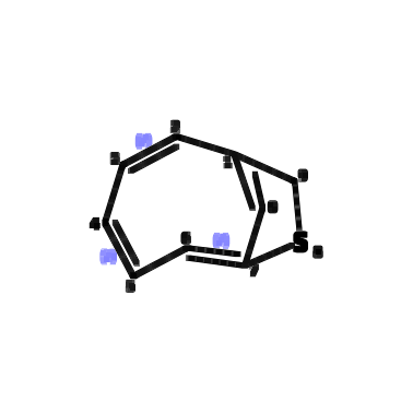 C1=C2\C=C/C=C\C=C1/SC2